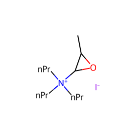 CCC[N+](CCC)(CCC)C1OC1C.[I-]